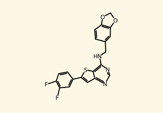 Fc1ccc(-c2cc3ncnc(NCc4ccc5c(c4)OCO5)c3s2)cc1F